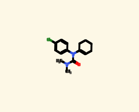 CN(C)C(=O)N(C1=CCCCC1)c1ccc(Cl)cc1